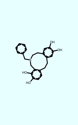 Oc1cc2c(cc1O)CCN(Cc1ccccc1)Cc1c(ccc(O)c1O)CC2